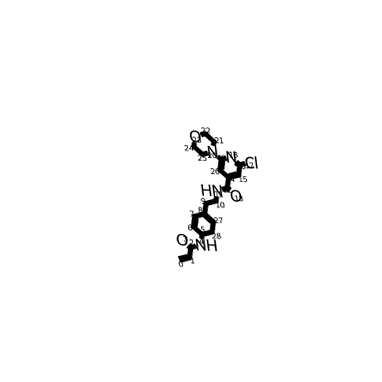 C=CC(=O)NC1C=CC(CCNC(=O)c2cc(Cl)nc(N3CCOCC3)c2)=CC1